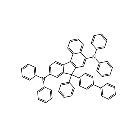 c1ccc(-c2ccc(C3(c4ccccc4)c4cc(N(c5ccccc5)c5ccccc5)ccc4-c4c3cc(N(c3ccccc3)c3ccccc3)c3ccccc43)cc2)cc1